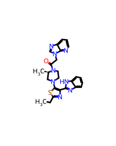 CCc1nc(-c2nc3ccccc3[nH]2)c(N2CCN(C(=O)Cn3cnc4cccnc43)[C@H](C)C2)s1